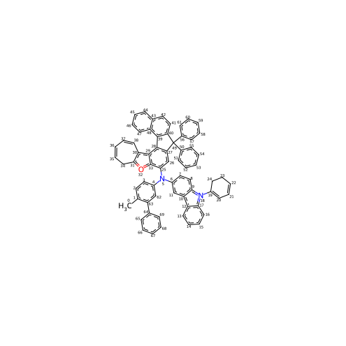 Cc1ccc(N(c2ccc3c(c2)c2ccccc2n3C2=CC=CCC2)c2cc3c(c4c5c(oc24)CC=CC=C5)-c2c(ccc4ccccc24)C3(c2ccccc2)c2ccccc2)cc1-c1ccccc1